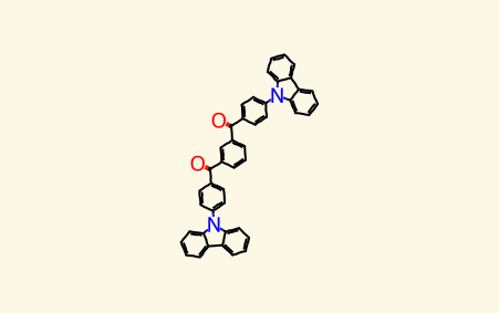 O=C(c1ccc(-n2c3ccccc3c3ccccc32)cc1)c1cccc(C(=O)c2ccc(-n3c4ccccc4c4ccccc43)cc2)c1